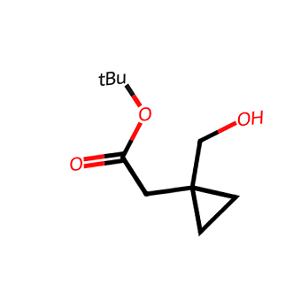 CC(C)(C)OC(=O)CC1(CO)CC1